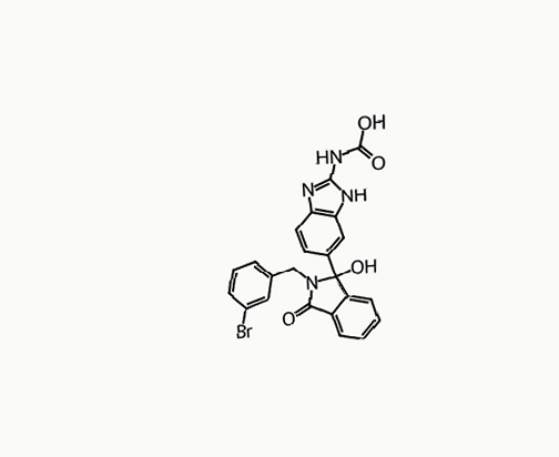 O=C(O)Nc1nc2ccc(C3(O)c4ccccc4C(=O)N3Cc3cccc(Br)c3)cc2[nH]1